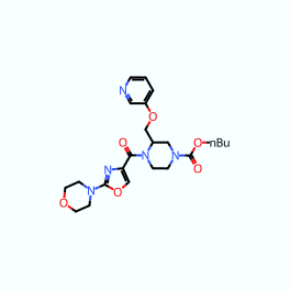 CCCCOC(=O)N1CCN(C(=O)c2coc(N3CCOCC3)n2)C(COc2cccnc2)C1